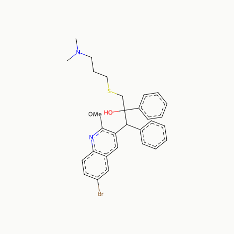 COc1nc2ccc(Br)cc2cc1C(c1ccccc1)C(O)(CSCCCN(C)C)c1ccccc1